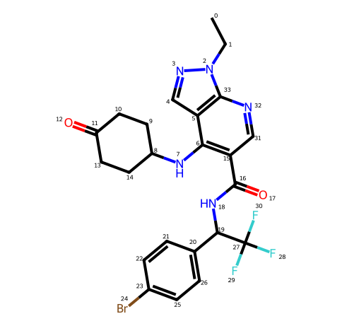 CCn1ncc2c(NC3CCC(=O)CC3)c(C(=O)NC(c3ccc(Br)cc3)C(F)(F)F)cnc21